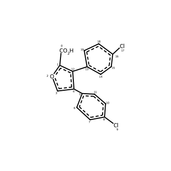 O=C(O)c1occ(-c2ccc(Cl)cc2)c1-c1ccc(Cl)cc1